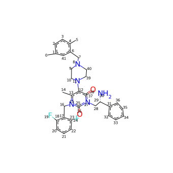 Cc1ccc(C)c(CN2CCN(c3c(C)n(Cc4c(F)cccc4F)c(=O)n(C[C@H](N)c4ccccc4)c3=O)CC2)c1